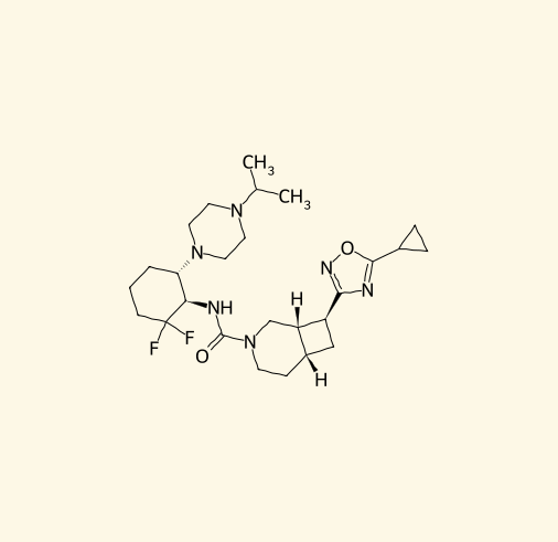 CC(C)N1CCN([C@H]2CCCC(F)(F)[C@@H]2NC(=O)N2CC[C@H]3C[C@H](c4noc(C5CC5)n4)[C@H]3C2)CC1